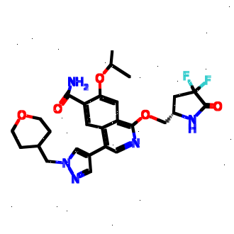 CC(C)Oc1cc2c(OC[C@@H]3CC(F)(F)C(=O)N3)ncc(-c3cnn(CC4CCOCC4)c3)c2cc1C(N)=O